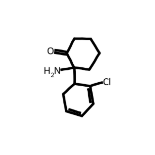 NC1(C2CC=CC=C2Cl)CCCCC1=O